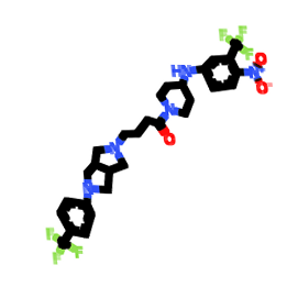 O=C(CCCN1CC2CN(c3ccc(C(F)(F)F)cc3)CC2C1)N1CCC(Nc2ccc([N+](=O)[O-])c(C(F)(F)F)c2)CC1